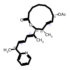 CC(=O)O[C@@H]1/C=C/[C@H](C)[C@@H](/C(C)=C/C=C/[C@H](C)c2ccccn2)OC(=O)CCCCC1